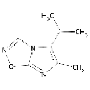 Cc1nc2oncn2c1C(C)C